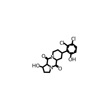 O=C1C2C(O)CCN2C(=O)C2CC(c3c(O)ccc(Cl)c3Cl)CCN12